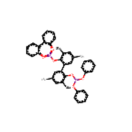 CC(C)(C)c1cc(-c2cc(C(C)(C)C)cc(C(C)(C)C)c2Op2oc3ccccc3c3ccccc3o2)c(OP(Oc2ccccc2)Oc2ccccc2)c(C(C)(C)C)c1